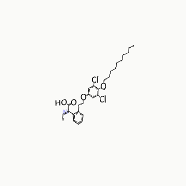 C/C=C(/C(=O)O)c1ccccc1CCOc1cc(Cl)c(OCCCCCCCCCC)c(Cl)c1